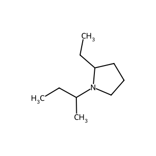 CCC(C)N1CCCC1CC